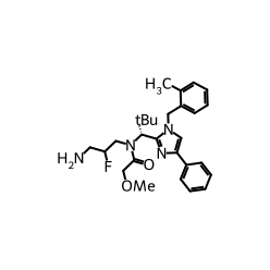 COCC(=O)N(CC(F)CN)[C@@H](c1nc(-c2ccccc2)cn1Cc1ccccc1C)C(C)(C)C